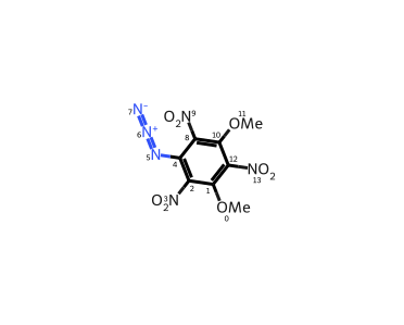 COc1c([N+](=O)[O-])c(N=[N+]=[N-])c([N+](=O)[O-])c(OC)c1[N+](=O)[O-]